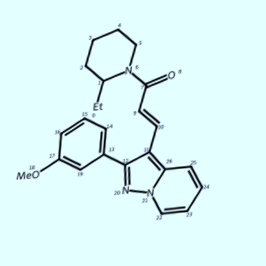 CCC1CCCCN1C(=O)C=Cc1c(-c2cccc(OC)c2)nn2ccccc12